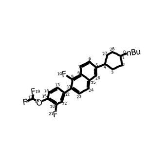 CCCCC1CCC(c2ccc3c(F)c(-c4ccc(OC(F)F)c(F)c4)ccc3c2)CC1